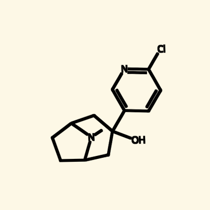 CN1C2CCC1CC(O)(c1ccc(Cl)nc1)C2